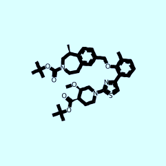 CO[C@H]1CN(c2nc(-c3cccc(C)c3OCc3ccc4c(c3)CCN(C(=O)OC(C)(C)C)C[C@H]4C)cs2)CC[C@H]1C(=O)OC(C)(C)C